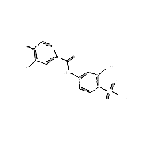 Bc1ccc(C(=O)Nc2ccc(S(N)(=O)=O)c(OC)c2)cc1[N+](=O)[O-]